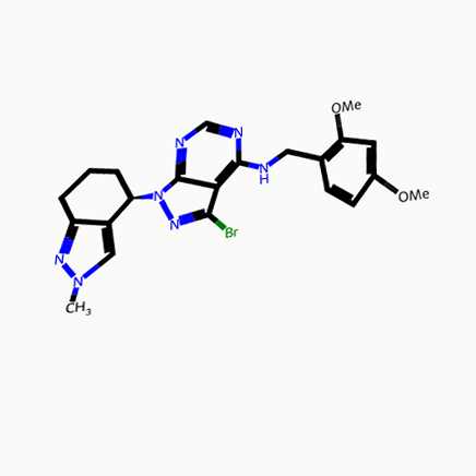 COc1ccc(CNc2ncnc3c2c(Br)nn3[C@@H]2CCCc3nn(C)cc32)c(OC)c1